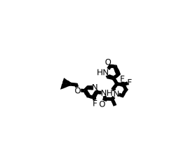 CC(C(=O)Nc1ncc(OCC2CC2)cc1F)N1CCC(F)(F)C(c2ccc(=O)[nH]c2)C1